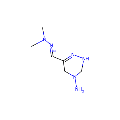 CN(C)/N=C/C1=NNCN(N)C1